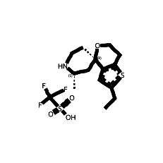 CCc1cc2c(s1)CCO[C@@]21CCN[C@@H](C)C1.O=S(=O)(O)C(F)(F)F